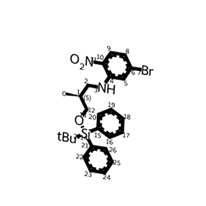 C[C@@H](CNc1cc(Br)ccc1[N+](=O)[O-])CO[Si](c1ccccc1)(c1ccccc1)C(C)(C)C